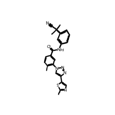 Cc1ncc(-c2cn(-c3cc(C(=O)Nc4cccc(C(C)(C)C#N)c4)ccc3C)nn2)s1